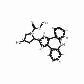 CC(C)(C)OC(=O)N1CC(O)CC1c1nc2c([nH]1)-c1ccncc1Nc1ncccc1-2